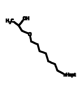 CCCCCCCCCCCCCCOCC(C)O